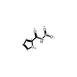 O=C(N[N+](=O)[O-])c1ccco1